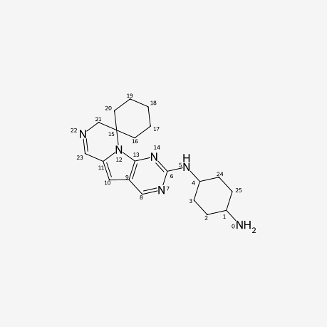 NC1CCC(Nc2ncc3cc4n(c3n2)C2(CCCCC2)CN=C4)CC1